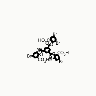 O=C(Oc1c(Br)cc(Br)cc1C(=O)O)c1cc(C(=O)Oc2c(Br)cc(Br)cc2C(=O)O)cc(C(=O)Oc2c(Br)cc(Br)cc2C(=O)O)c1